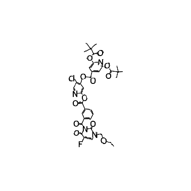 CCOCn1cc(F)c(=O)n(C(=O)c2cccc(C(=O)Oc3cc(OC(=O)c4cc(OC(=O)C(C)(C)C)nc(OC(=O)C(C)(C)C)c4)c(Cl)cn3)c2)c1=O